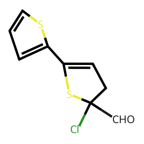 O=CC1(Cl)CC=C(c2cccs2)S1